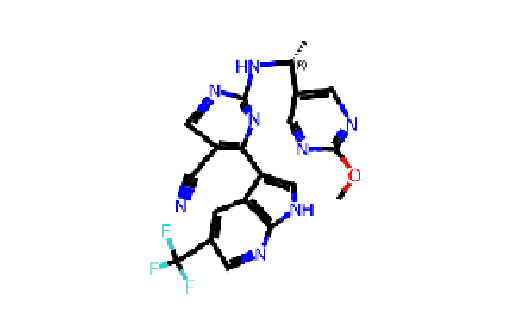 COc1ncc([C@@H](C)Nc2ncc(C#N)c(-c3c[nH]c4ncc(C(F)(F)F)cc34)n2)cn1